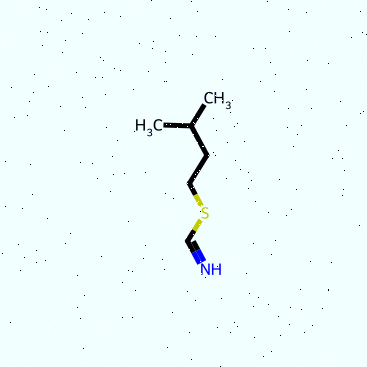 CC(C)CCSC=N